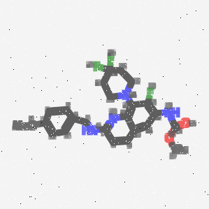 COc1ccc(CNc2ccc3cc(NC(=O)OC(C)(C)C)c(F)c(N4CCC(F)(F)CC4)c3n2)cc1